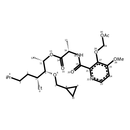 CC[C@H](CCC(C)C)[C@@H](OCC1CC1)[C@H](C)OC(=O)[C@H](C)NC(=O)c1nccc(OC)c1OCOC(C)=O